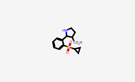 O=C(O)C1CCNC1c1ccccc1S(=O)(=O)C1CC1